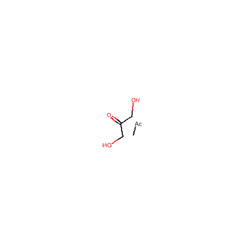 CC(C)=O.O=C(CO)CO